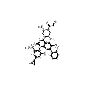 C=CC(=O)N1C[C@H](C)N(c2nc(=O)n(-c3c(C)cc(C4CC4)nc3C(C)C)c3nc(-c4ccccc4F)c(Cl)cc23)C[C@H]1C